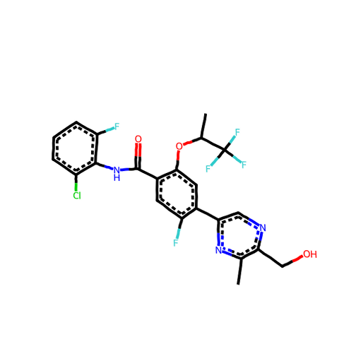 Cc1nc(-c2cc(OC(C)C(F)(F)F)c(C(=O)Nc3c(F)cccc3Cl)cc2F)cnc1CO